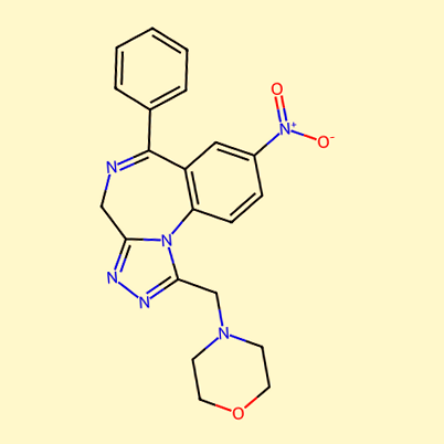 O=[N+]([O-])c1ccc2c(c1)C(c1ccccc1)=NCc1nnc(CN3CCOCC3)n1-2